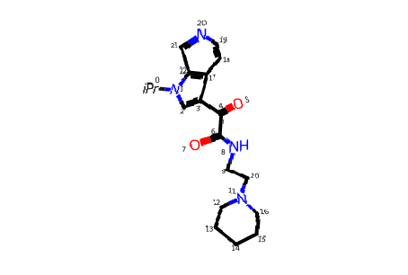 CC(C)n1cc(C(=O)C(=O)NCCN2CCCCC2)c2ccncc21